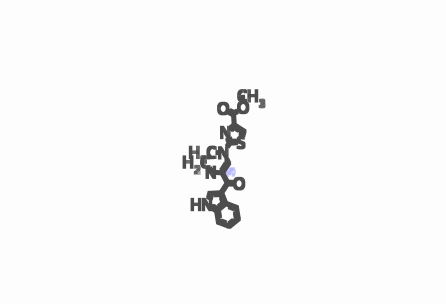 C=N/C(=C\N(C)c1nc(C(=O)OC)cs1)C(=O)c1c[nH]c2ccccc12